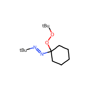 CC(C)(C)N=NC1(OOC(C)(C)C)CCCCC1